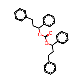 O=C(OC(CCc1ccccc1)c1ccccc1)OC(CCc1ccccc1)c1ccccc1